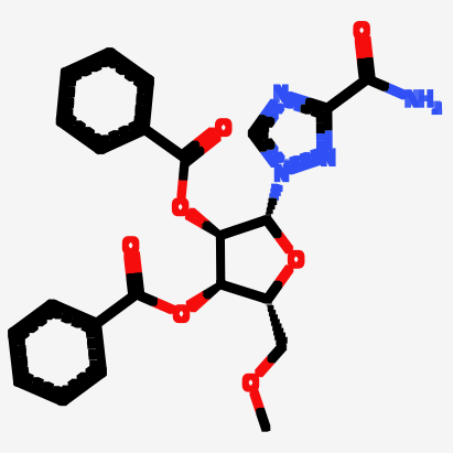 COC[C@H]1O[C@@H](n2cnc(C(N)=O)n2)[C@H](OC(=O)c2ccccc2)[C@@H]1OC(=O)c1ccccc1